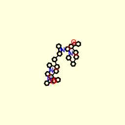 c1ccc(-c2ccccc2-c2cccc(N(c3cccc(-n4c5ccccc5c5cc(-c6cccc(-c7ccccc7-c7ccccc7N(c7cccc(-n8c9ccccc9c9ccccc98)c7)c7ccccc7-c7cccc8oc9ccccc9c78)c6)ccc54)c3)c3ccccc3-c3cccc4oc5ccccc5c34)c2)cc1